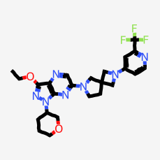 CCOc1nn(C2CCCOC2)c2nc(N3CCC4(CN(c5ccnc(C(F)(F)F)c5)C4)C3)cnc12